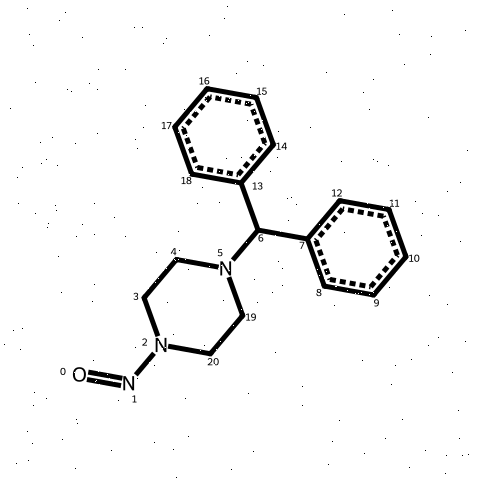 O=NN1CCN(C(c2ccccc2)c2ccccc2)CC1